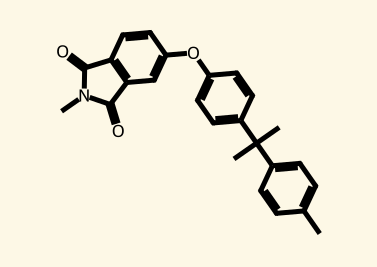 Cc1ccc(C(C)(C)c2ccc(Oc3ccc4c(c3)C(=O)N(C)C4=O)cc2)cc1